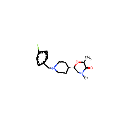 CCN1C[C@H](C2CCN(Cc3ccc(F)cc3)CC2)O[C@@H](C)C1=O